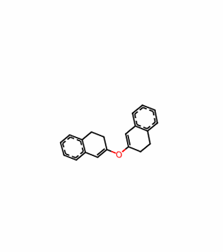 C1=C(OC2=Cc3ccccc3CC2)CCc2ccccc21